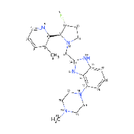 CC1C=CC=NC1[C@H]1[C@H](F)CCN1Cc1nc2c(N3CCN(C)CC3)cccc2[nH]1